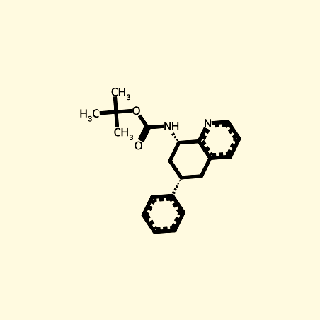 CC(C)(C)OC(=O)N[C@H]1C[C@@H](c2ccccc2)Cc2cccnc21